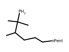 CCCCCCCCC(C)C(C)(C)P